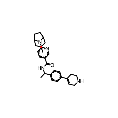 CC1CC2CCC(C1)N2c1ccc(C(=O)NC(C)c2ccc(C3=CCNCC3)cc2)cn1